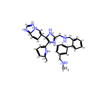 BNCc1cccc(-c2ccccc2CNCc2nc(-c3cccc(C)n3)c(-c3ccc4ncnn4c3)[nH]2)c1